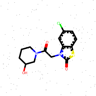 O=C(Cn1c(=O)sc2ccc(Cl)cc21)N1CCCC(O)C1